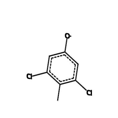 Cc1c(Cl)cc([O])cc1Cl